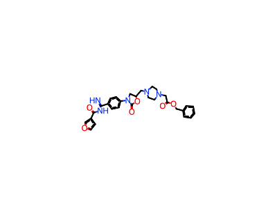 N=C(NC(=O)c1ccoc1)c1ccc(N2CC(CN3CCN(CC(=O)OCc4ccccc4)CC3)OC2=O)cc1